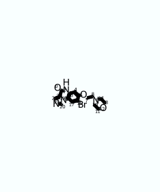 O=c1[nH]c2cc(OCCN3CCOCC3)c(Br)cc2n2cncc12